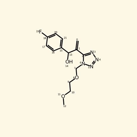 C=C(c1nnnn1COCCOC)C(O)c1ccc(F)cc1